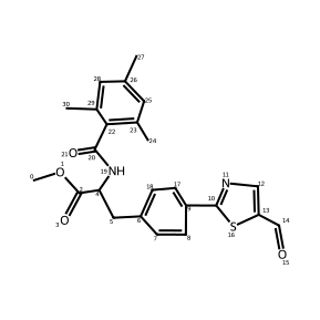 COC(=O)C(Cc1ccc(-c2ncc(C=O)s2)cc1)NC(=O)c1c(C)cc(C)cc1C